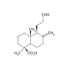 C=C1CCC2[C@](C)(CCC[C@]2(C)C(=O)O)[C@H]1CCC=O